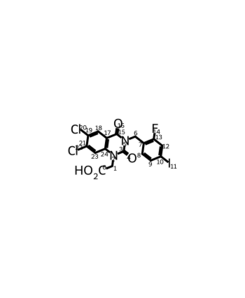 O=C(O)Cn1c(=O)n(Cc2ccc(I)cc2F)c(=O)c2cc(Cl)c(Cl)cc21